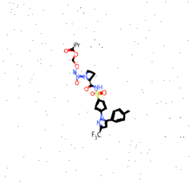 Cc1ccc(-c2cc(C(F)(F)F)nn2-c2ccc(S(=O)(=O)NC(=O)[C@@H]3CCN3/[N+]([O-])=N\OCOC(=O)C(C)C)cc2)cc1